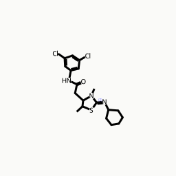 CC1S/C(=N\C2CCCCC2)N(C)C1CC(=O)Nc1cc(Cl)cc(Cl)c1